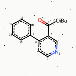 CC(C)COC(=O)c1cnccc1-c1ccccc1